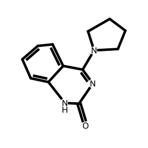 O=c1nc(N2CCCC2)c2ccccc2[nH]1